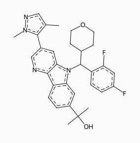 Cc1cnn(C)c1-c1cnc2c3ccc(C(C)(C)O)cc3n(C(c3ccc(F)cc3F)C3CCOCC3)c2c1